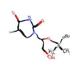 CC(C)(C)[Si](C)(C)OC(CO)n1cc(F)c(=O)[nH]c1=O